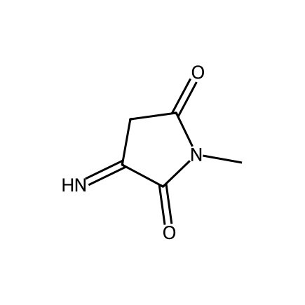 CN1C(=O)CC(=N)C1=O